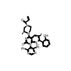 C=CC(=O)N1CCN(c2nc(=O)n(-c3c(C(C)C)ncnc3C(C)C)c3c2cc(F)c(-c2ccccc2O)[n+]3[O-])[C@@H](C)C1